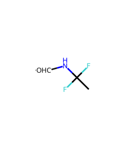 CC(F)(F)N[C]=O